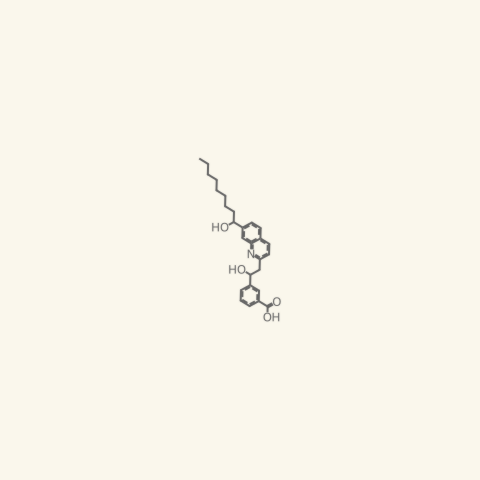 CCCCCCCCC(O)c1ccc2ccc(CC(O)c3cccc(C(=O)O)c3)nc2c1